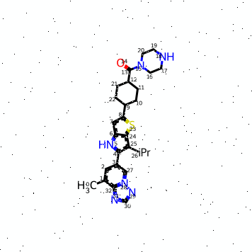 Cc1cc(-c2[nH]c3cc(C4CCC(C(=O)N5CCNCC5)CC4)sc3c2C(C)C)cn2ncnc12